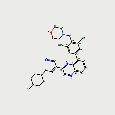 CC1CCC(C/C=C(\C=N)c2cnc3cccc(-c4cc(F)c(CN5CCOCC5)c(F)c4)c3n2)CC1